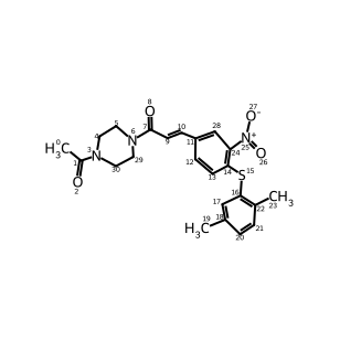 CC(=O)N1CCN(C(=O)C=Cc2ccc(Sc3cc(C)ccc3C)c([N+](=O)[O-])c2)CC1